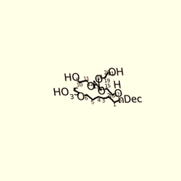 CCCCCCCCCCCCCCCCOS(=O)(=O)O.OCCON(OCCO)OCCO